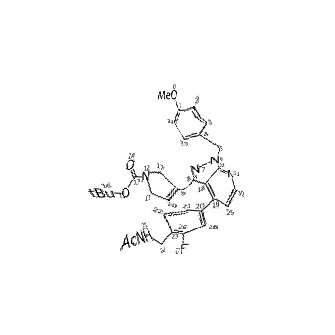 COc1ccc(Cn2nc(C3=CCN(C(=O)OC(C)(C)C)C3)c3c(-c4ccc(CNC(C)=O)c(F)c4)ccnc32)cc1